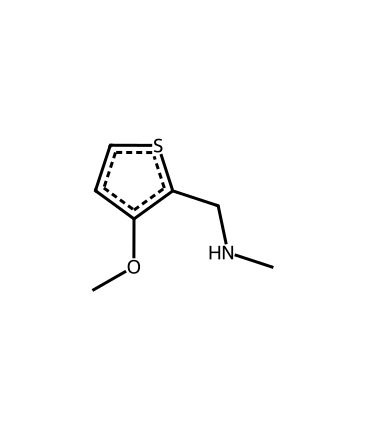 CNCc1sccc1OC